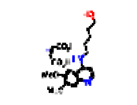 COc1cc2nccc(NCCCCCO)c2cc1OC.O=C(O)/C=C\C(=O)O